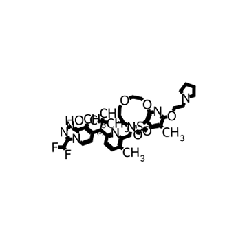 Cc1ccc([C@@H](c2ccn3c(C(F)F)nnc3c2C)C(C)(C)C(=O)O)nc1CN1CCCOCCOc2nc(OCCN3CCCC3)c(C)cc2S1(=O)=O